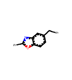 CC(C)Cc1ccc2oc(C(C)C)nc2c1